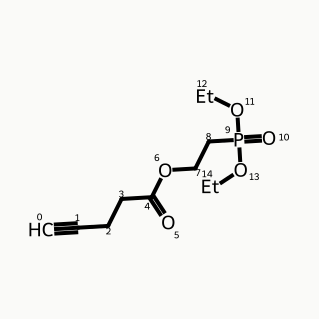 C#CCCC(=O)OCCP(=O)(OCC)OCC